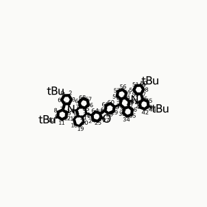 CC(C)(C)c1ccc2c(c1)c1cc(C(C)(C)C)ccc1n2C1=C2C=CC=CC2C(c2ccc3oc4cc(-c5c6ccccc6c(-n6c7ccc(C(C)(C)C)cc7c7cc(C(C)(C)C)ccc76)c6ccccc56)ccc4c3c2)c2ccccc21